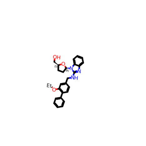 CCOc1cc(CNc2nc3ccccc3n2[C@H]2CC[C@@H](CO)O2)ccc1-c1ccccc1